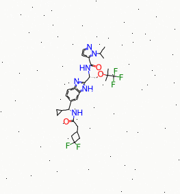 CC(C)n1nccc1C(=O)N[C@H](COC(C)(C)C(F)(F)F)c1nc2ccc([C@H](NC(=O)CC3CC(F)(F)C3)C3CC3)cc2[nH]1